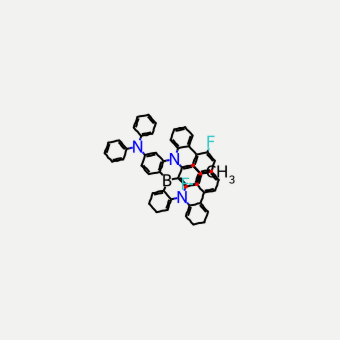 Cc1cc2c3c(c1)N(c1ccccc1-c1ccccc1F)c1cc(N(c4ccccc4)c4ccccc4)ccc1B3C1=CCCC=C1N2C1=CCCC=C1c1ccccc1F